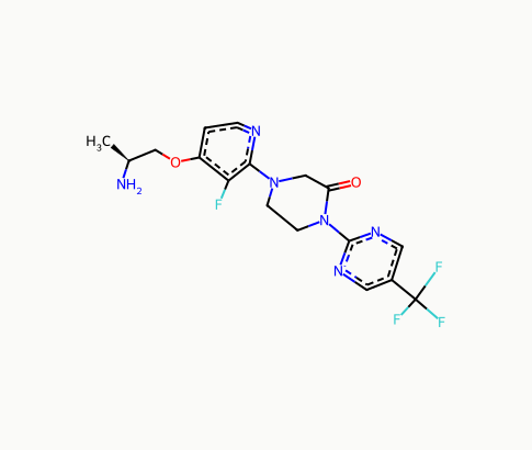 C[C@H](N)COc1ccnc(N2CCN(c3ncc(C(F)(F)F)cn3)C(=O)C2)c1F